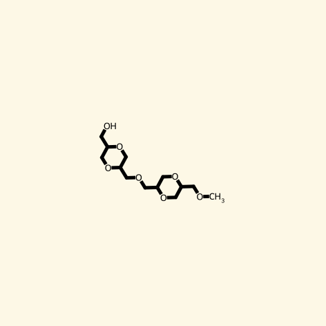 COCC1COC(COCC2COC(CO)CO2)CO1